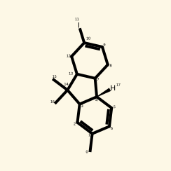 CC1=CC2[C@@H](C=C1)C1CC=C(I)CC1C2(C)C